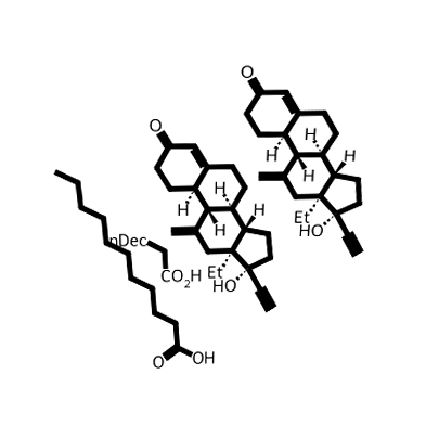 C#C[C@]1(O)CC[C@H]2[C@@H]3CCC4=CC(=O)CC[C@@H]4[C@H]3C(=C)C[C@@]21CC.C#C[C@]1(O)CC[C@H]2[C@@H]3CCC4=CC(=O)CC[C@@H]4[C@H]3C(=C)C[C@@]21CC.CCCCCCCCCCC(=O)O.CCCCCCCCCCCC(=O)O